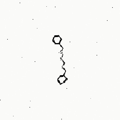 c1ccc(CSCSCSCc2ccccc2)cc1